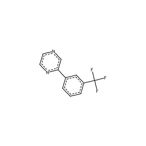 FC(F)(F)c1cccc(-c2cnccn2)c1